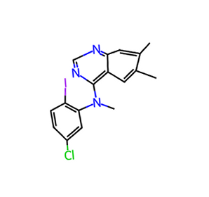 Cc1cc2ncnc(N(C)c3cc(Cl)ccc3I)c2cc1C